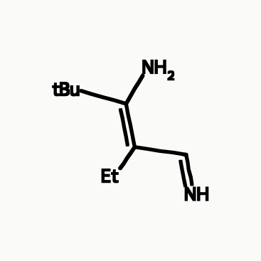 CC/C(C=N)=C(/N)C(C)(C)C